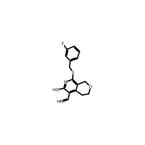 N=Cc1c(O)nc(SCc2cccc(F)c2)c2c1CCOC2